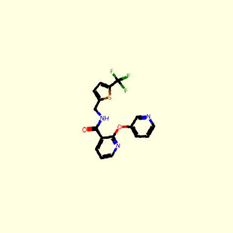 O=C(NCc1ccc(C(F)(F)F)s1)c1cccnc1Oc1cccnc1